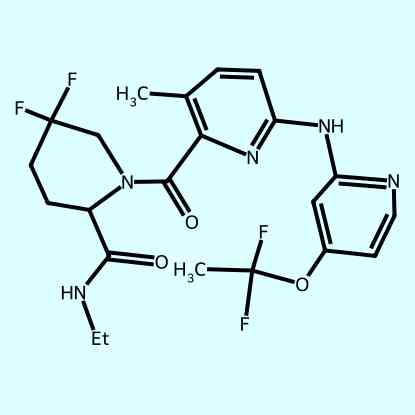 CCNC(=O)C1CCC(F)(F)CN1C(=O)c1nc(Nc2cc(OC(C)(F)F)ccn2)ccc1C